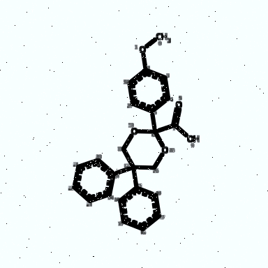 COc1ccc(C2(C(=O)O)OCC(c3ccccc3)(c3ccccc3)CO2)cc1